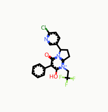 O=c1c(-c2ccccc2)c(O)[n+](CC(F)(F)F)c2n1C(c1ccc(Cl)nc1)CC2